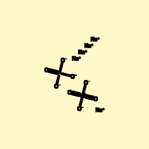 O=P([O-])([O-])[O-].[Na+].[Na+].[Na+].[Na+].[Na+].[O]=[W](=[O])([O-])[O-]